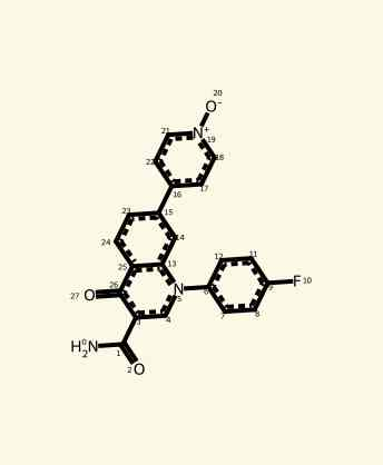 NC(=O)c1cn(-c2ccc(F)cc2)c2cc(-c3cc[n+]([O-])cc3)ccc2c1=O